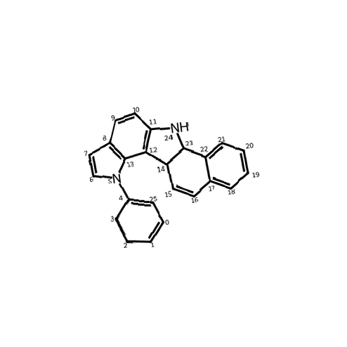 C1=CCCC(n2ccc3ccc4c(c32)C2C=Cc3ccccc3C2N4)=C1